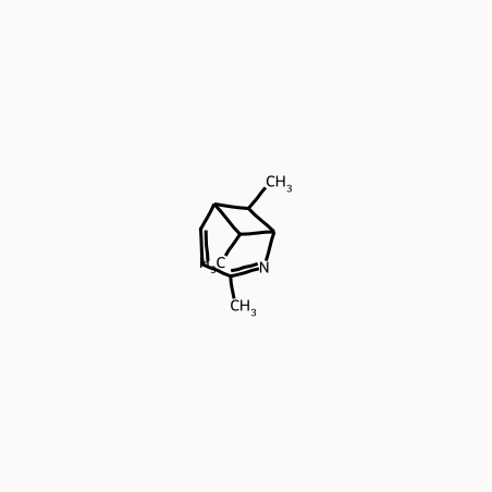 CC1=NC2C(C)C(C=C1)C2C